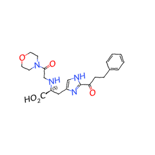 O=C(CCc1ccccc1)c1nc(C[C@H](NCC(=O)N2CCOCC2)C(=O)O)c[nH]1